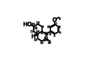 COc1cccc([C@@H]2C3CC[C@H](O)C[C@@H]3CCN2C)c1